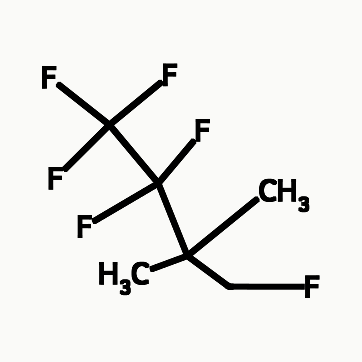 CC(C)(CF)C(F)(F)C(F)(F)F